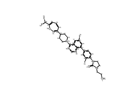 O=C1N(CCO)CCN1c1ccc(-c2cc(F)cc3c(N4CCC(C5=NOC(C(F)F)=CC=C5)CC4)ncnc23)cc1F